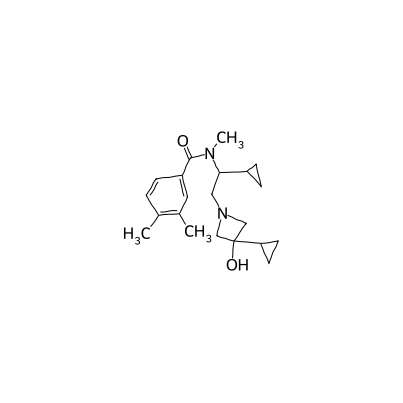 Cc1ccc(C(=O)N(C)C(CN2CC(O)(C3CC3)C2)C2CC2)cc1C